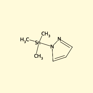 [CH3][Sn]([CH3])([CH3])[n]1cccn1